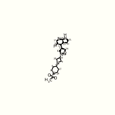 CS(=O)(=O)N1CCC(N2C[C](n3cc(-c4c(F)cnc5[nH]ccc45)cn3)C2)CC1